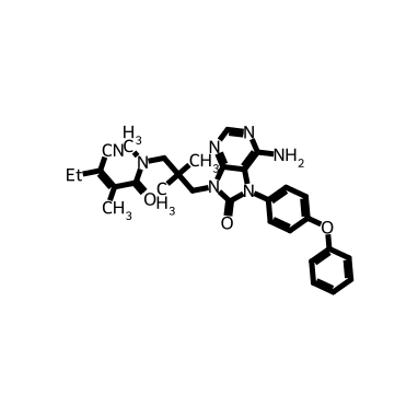 CCC(C#N)=C(C)C(=O)N(C)CC(C)(C)Cn1c(=O)n(-c2ccc(Oc3ccccc3)cc2)c2c(N)ncnc21